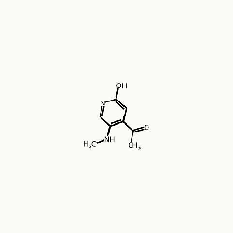 CNc1cnc(O)cc1C(C)=O